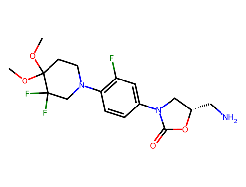 COC1(OC)CCN(c2ccc(N3C[C@H](CN)OC3=O)cc2F)CC1(F)F